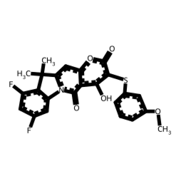 COc1cccc(Sc2c(O)c3c(=O)n4c(cc3oc2=O)C(C)(C)c2c(F)cc(F)cc2-4)c1